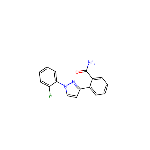 NC(=O)c1ccccc1-c1ccn(-c2ccccc2Cl)n1